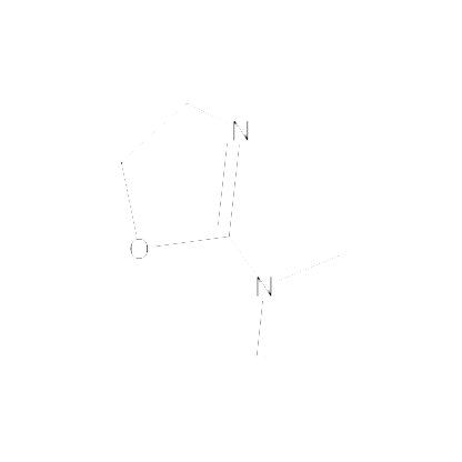 [CH2]N(C)C1=NCCO1